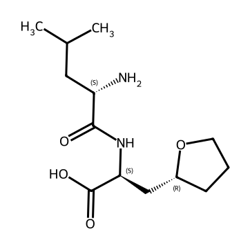 CC(C)C[C@H](N)C(=O)N[C@@H](C[C@H]1CCCO1)C(=O)O